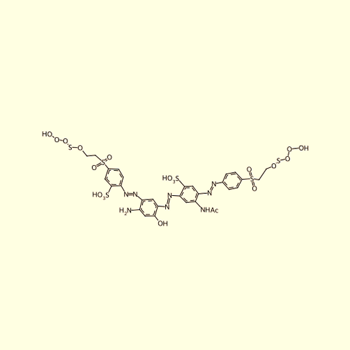 CC(=O)Nc1cc(/N=N/c2cc(/N=N/c3ccc(S(=O)(=O)CCOSOOO)cc3S(=O)(=O)O)c(N)cc2O)c(S(=O)(=O)O)cc1/N=N/c1ccc(S(=O)(=O)CCOSOOO)cc1